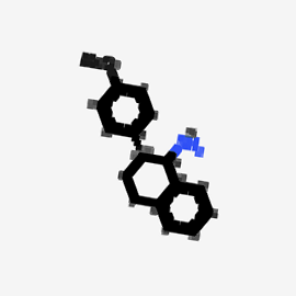 COc1ccc([C@H]2CCc3ccccc3[C]2N)cc1